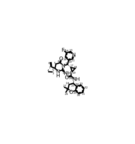 C=C[C@@]1(CC)CC(=O)N(C(c2cncc(F)c2)[C@@H]2C[C@H]2C(=O)N[C@H]2CC(C)(C)Oc3ccccc32)C(=N)N1